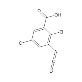 O=C=Nc1cc(Cl)cc(C(=O)O)c1Cl